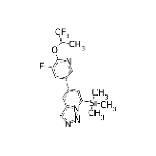 CC(Oc1ncc(-c2cc([Si](C)(C)C)n3nncc3c2)cc1F)C(F)(F)F